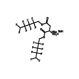 O=C(CC(C(=O)OCC(F)(F)C(F)(F)C(F)(F)C(F)F)S(=O)(=O)O)OCC(F)(F)C(F)(F)C(F)(F)C(F)F.[NaH].[NaH]